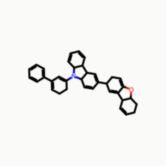 C1=CC2C3C=C(C4C=C5C(=CC4)OC4CCC=CC54)C=CC3N(C3=CC(c4ccccc4)=CCC3)C2C=C1